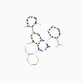 CC(C)c1ccccc1-n1c(=O)nc2c3c(cc(-c4c(O)cccc4F)cc31)OC[C@@H]1CN[C@@H](C)CN21